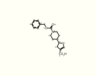 O=C(O)C1=CSC(C2CCN(C(=O)OCc3ccccc3)CC2)C1